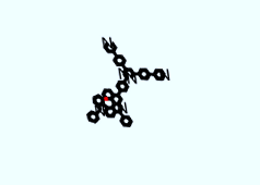 c1ccc(-c2nc3cc(-c4ccc(-c5nc(-c6ccc(-c7ccncc7)cc6)cc(-c6ccc(-c7ccncc7)cc6)n5)cc4)c4ccccc4c3c3c2ccc2c3c3ccccc3n2-c2ccccc2)cc1